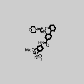 COc1cc(NC(=O)c2ccc(-c3ccccc3C(F)(F)F)c(OCCN3CCOCC3)c2)ccc1S(N)(=O)=O